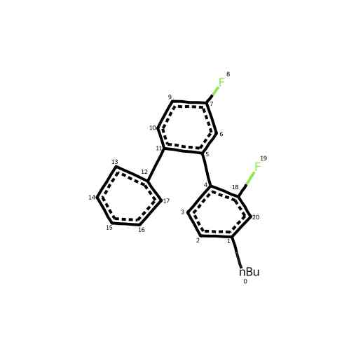 CCCCc1ccc(-c2cc(F)ccc2-c2ccccc2)c(F)c1